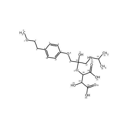 COCCc1ccc(OCC(O)(CNC(C)C)OC(C(=O)O)C(O)C(=O)O)cc1